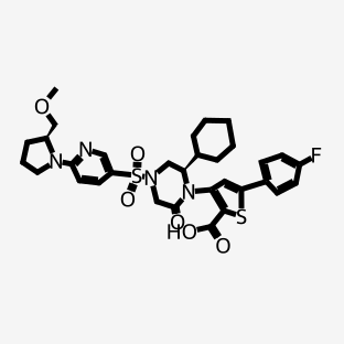 COC[C@@H]1CCCN1c1ccc(S(=O)(=O)N2CC(=O)N(c3cc(-c4ccc(F)cc4)sc3C(=O)O)[C@H](C3CCCCC3)C2)cn1